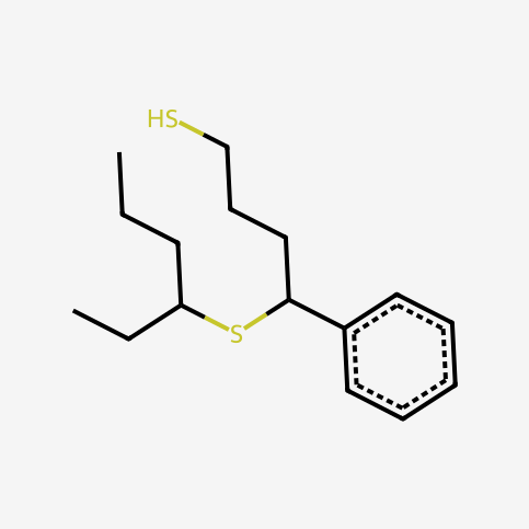 CCCC(CC)SC(CCCS)c1ccccc1